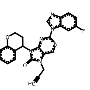 C#CCn1c(=O)n(C2CCOc3ccccc32)c2nc(-n3cnc4ccc(F)cc43)ncc21